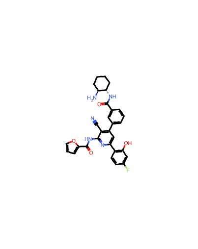 N#Cc1c(-c2cccc(C(=O)N[C@H]3CCCC[C@@H]3N)c2)cc(-c2ccc(F)cc2O)nc1NC(=O)c1ccco1